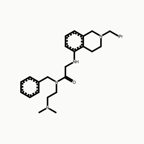 CC(C)CN1CCc2c(cccc2NCC(=O)N(CCN(C)C)Cc2ccccc2)C1